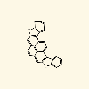 c1ccc2c(c1)oc1cc3ccc4cc5oc6ccccc6c5c5ccc(c12)c3c45